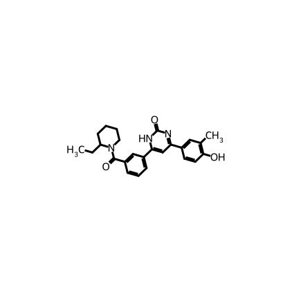 CCC1CCCCN1C(=O)c1cccc(-c2cc(-c3ccc(O)c(C)c3)nc(=O)[nH]2)c1